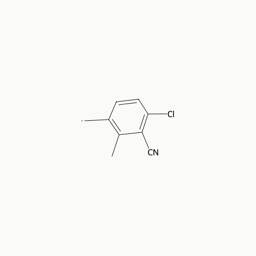 [CH2]c1ccc(Cl)c(C#N)c1C